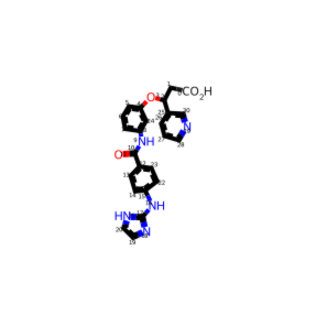 O=C(O)CC(Oc1cccc(NC(=O)c2ccc(Nc3ncc[nH]3)cc2)c1)c1cccnc1